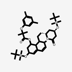 Cc1cc(C)cc(OC(C)(C)C(=O)OC2CC(O[Si](C)(C)C(C)(C)C)C=C3C=CC(C)C(CC[C@@H]4C[C@@H](O[Si](C)(C)C(C)(C)C)CC(=O)O4)C32)c1